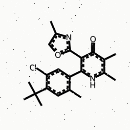 Cc1coc(-c2c(-c3cc(Cl)c(C(C)(C)C)cc3C)[nH]c(C)c(C)c2=O)n1